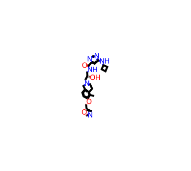 Cc1c(OCc2cnco2)ccc2c1CCN(C[C@@H](O)CNC(=O)c1cc(NC3CCC3)ncn1)C2